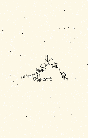 CCCCCC(=O)ON(CCCCC)C(=O)Nc1ccc2[nH]c3c(c2c1)CC(CNCCc1cnn(C(C)C)c1)CC3